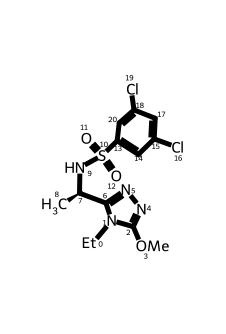 CCn1c(OC)nnc1[C@@H](C)NS(=O)(=O)c1cc(Cl)cc(Cl)c1